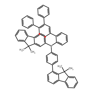 CC1(C)c2ccccc2-c2ccc(N(c3ccc(-c4cccc5c4C(C)(C)c4ccccc4-5)cc3)c3ccccc3-c3ccc(-c4ccccc4)c(-c4ccccc4)c3)cc21